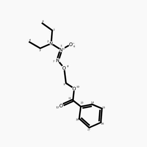 CCN(CC)/[N+]([O-])=N/OCOC(=O)c1ccccc1